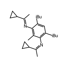 CCC(C)c1cc(C(C)CC)c(N=C(C)C2CC2)c(C)c1N=C(C)C1CC1